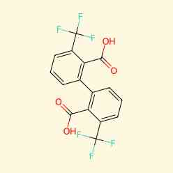 O=C(O)c1c(-c2cccc(C(F)(F)F)c2C(=O)O)cccc1C(F)(F)F